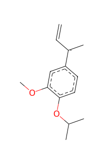 C=C[C](C)c1ccc(OC(C)C)c(OC)c1